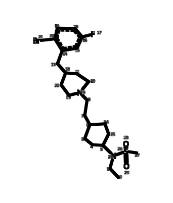 CCN(C1CCC(CCN2CCC(Cc3cc(F)ccc3Br)CC2)CC1)S(C)(=O)=O